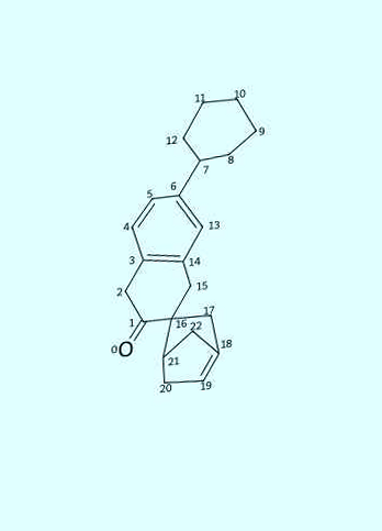 O=C1Cc2ccc(C3CCCCC3)cc2CC12CC1=CCC2C1